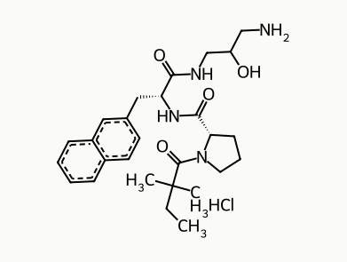 CCC(C)(C)C(=O)N1CCC[C@H]1C(=O)N[C@H](Cc1ccc2ccccc2c1)C(=O)NCC(O)CN.Cl